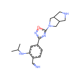 CC(C)Nc1cc(-c2noc(N3CC4CNCC4C3)n2)ccc1C=N